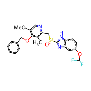 COc1cnc(C[S+]([O-])c2nc3cc(OC(F)F)ccc3[nH]2)c(C)c1OCc1ccccc1